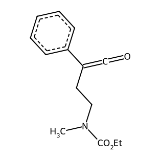 CCOC(=O)N(C)CCC(=C=O)c1ccccc1